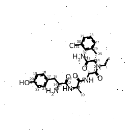 CCN(C(=O)CNC(=O)[C@@H](C)NC(=O)[C@@H](N)Cc1ccc(O)cc1)[C@@H](Cc1cccc(Cl)c1)C(N)=O